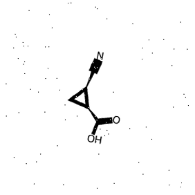 N#C[C@@H]1C[C@@H]1C(=O)O